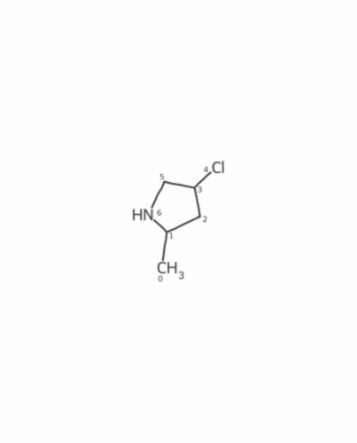 CC1CC(Cl)CN1